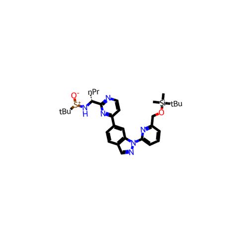 CCC[C@@H](N[S+]([O-])C(C)(C)C)c1nccc(-c2ccc3cnn(-c4cccc(CO[Si](C)(C)C(C)(C)C)n4)c3c2)n1